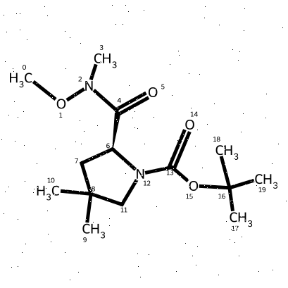 CON(C)C(=O)[C@@H]1CC(C)(C)CN1C(=O)OC(C)(C)C